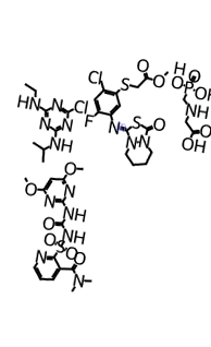 CCNc1nc(Cl)nc(NC(C)C)n1.COC(=O)CSc1cc(/N=c2\sc(=O)n3n2CCCC3)c(F)cc1Cl.COc1cc(OC)nc(NC(=O)NS(=O)(=O)c2ncccc2C(=O)N(C)C)n1.O=C(O)CNCP(=O)(O)O